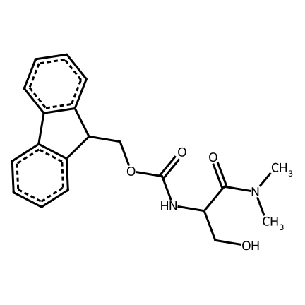 CN(C)C(=O)C(CO)NC(=O)OCC1c2ccccc2-c2ccccc21